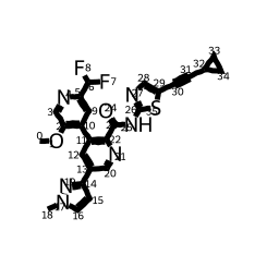 COc1cnc(C(F)F)cc1-c1cc(-c2ccn(C)n2)cnc1C(=O)Nc1ncc(C#CC2CC2)s1